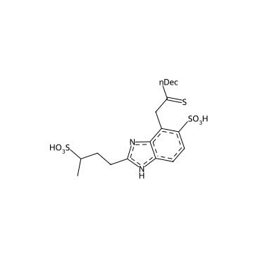 CCCCCCCCCCC(=S)Cc1c(S(=O)(=O)O)ccc2[nH]c(CCC(C)S(=O)(=O)O)nc12